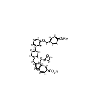 COc1ccc(COc2cccc(C3=CCN(Cc4nc5ccc(C(=O)O)cc5n4C[C@@H]4CCO4)CC3)n2)cc1